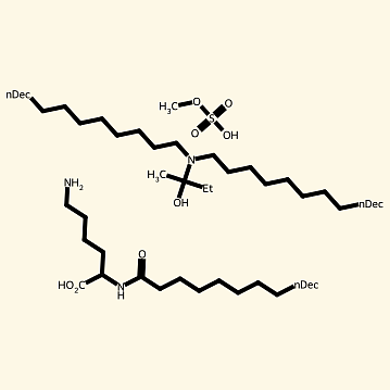 CCCCCCCCCCCCCCCCCC(=O)NC(CCCCN)C(=O)O.CCCCCCCCCCCCCCCCCCN(CCCCCCCCCCCCCCCCCC)C(C)(O)CC.COS(=O)(=O)O